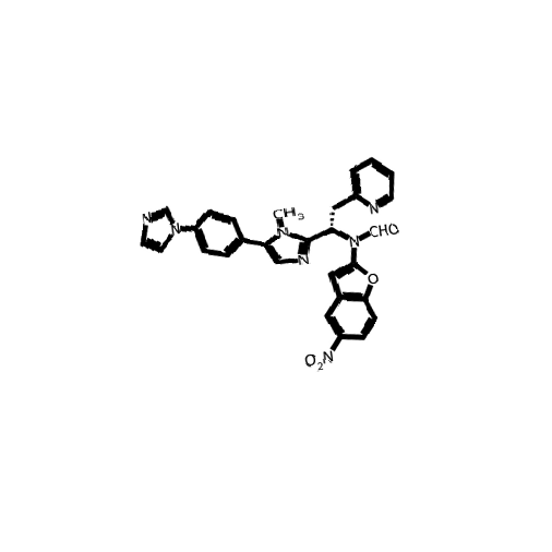 Cn1c(-c2ccc(-n3ccnc3)cc2)cnc1[C@H](Cc1ccccn1)N(C=O)c1cc2cc([N+](=O)[O-])ccc2o1